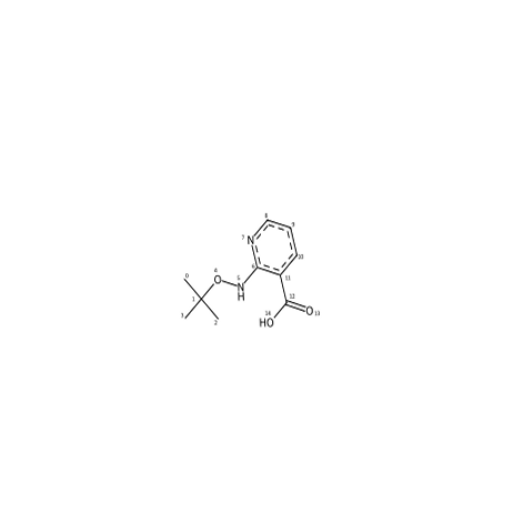 CC(C)(C)ONc1ncccc1C(=O)O